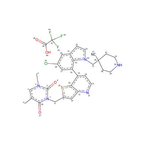 Cc1cn(C)c(=O)n(Cc2cc3nccc(-c4cc(Cl)cc5ccn(CC6(C#N)CCNCC6)c45)c3s2)c1=O.O=C(O)C(F)(F)F